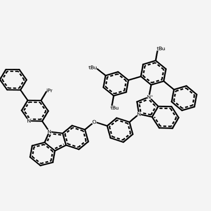 CC(C)c1cc(-n2c3ccccc3c3ccc(Oc4cccc(-n5c[n+](-c6c(-c7ccccc7)cc(C(C)(C)C)cc6-c6cc(C(C)(C)C)cc(C(C)(C)C)c6)c6ccccc65)c4)cc32)ncc1-c1ccccc1